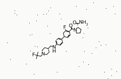 CC(C)(F)CN1CCC(CNc2ccc(C3C=CC(C(=O)N4CCC[C@H]4C(N)=O)=C(F)C3)cc2)CC1